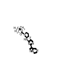 CC(C)(C)OC(=O)N1CCC[C@@H](Nc2nc(-c3cnn4ccncc34)ncc2F)C1